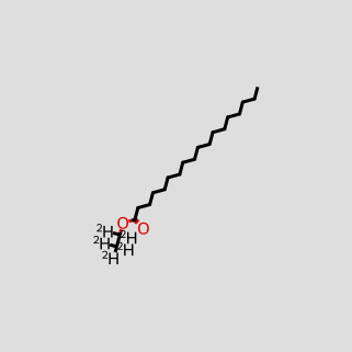 [2H]C([2H])([2H])C([2H])([2H])OC(=O)CCCCCCCCCCCCCCCCC